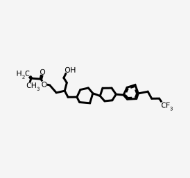 C=C(C)C(=O)OCCC(CCO)CC1CCC(C2CCC(c3ccc(CCCC(F)(F)F)cc3)CC2)CC1